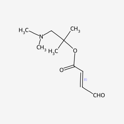 CN(C)CC(C)(C)OC(=O)/C=C/C=O